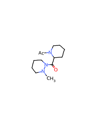 CC(=O)N1CCCCC1C(=O)N1CCCCN1C